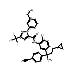 N#Cc1ccc(C(N)(CCC2CC2)c2ccc(F)c(NC(=O)c3cc(C(F)(F)F)nn3-c3cccc(CN)c3)c2)cc1